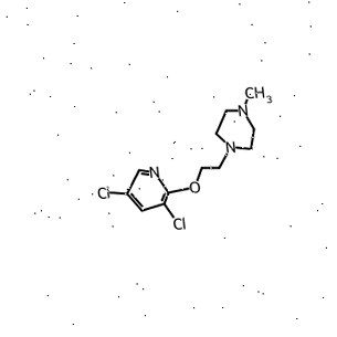 CN1CCN(CCOc2ncc(Cl)cc2Cl)CC1